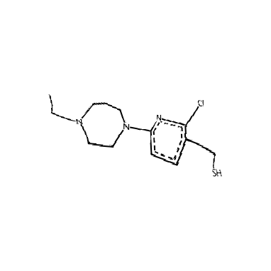 CCN1CCN(c2ccc(CS)c(Cl)n2)CC1